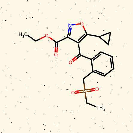 CCOC(=O)c1noc(C2CC2)c1C(=O)c1ccccc1CS(=O)(=O)CC